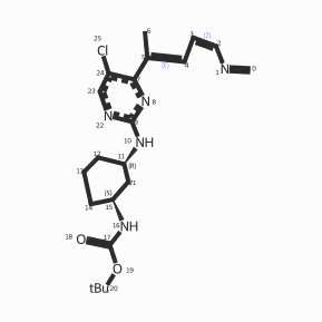 C=N/C=C\C=C(/C)c1nc(N[C@@H]2CCC[C@H](NC(=O)OC(C)(C)C)C2)ncc1Cl